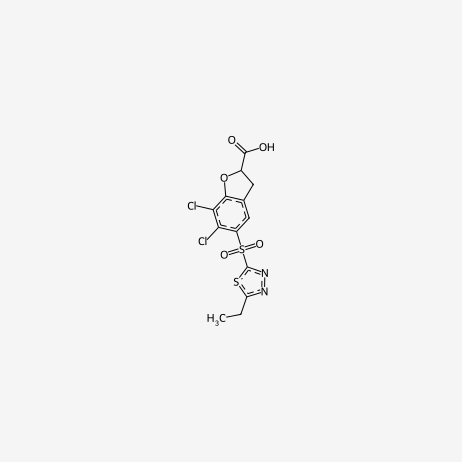 CCc1nnc(S(=O)(=O)c2cc3c(c(Cl)c2Cl)OC(C(=O)O)C3)s1